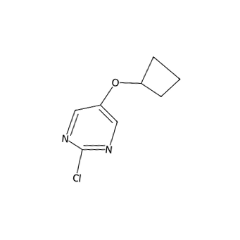 Clc1ncc(OC2CCC2)cn1